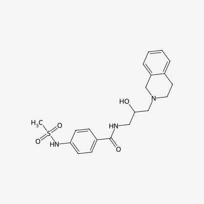 CS(=O)(=O)Nc1ccc(C(=O)NCC(O)CN2CCc3ccccc3C2)cc1